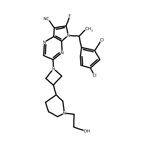 CC(c1ccc(Cl)cc1Cl)n1c(F)c(C#N)c2ncc(N3CC(C4CCCN(CCO)C4)C3)nc21